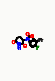 CC(C)c1c(F)ccc2c1oc(=O)n2C1CCC(=O)NC1=O